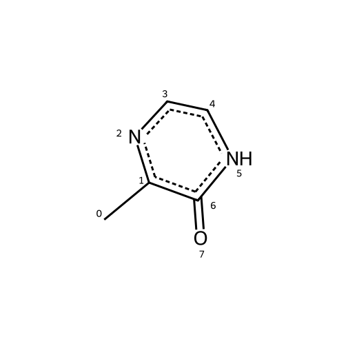 Cc1ncc[nH]c1=O